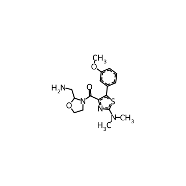 COc1cccc(-c2sc(N(C)C)nc2C(=O)N2CCOC2CN)c1